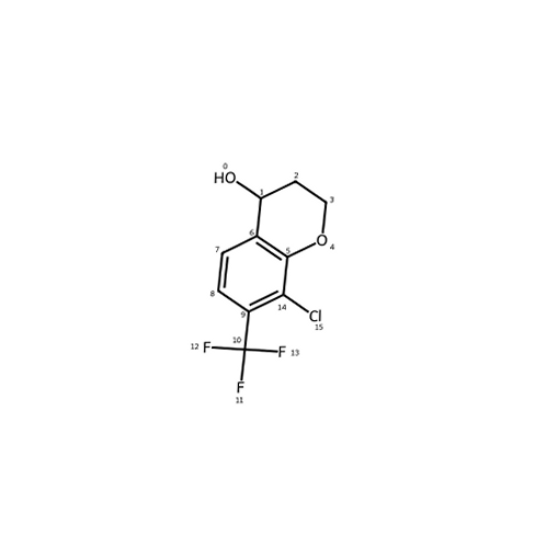 OC1CCOc2c1ccc(C(F)(F)F)c2Cl